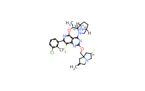 C=C1CN2C[C@H](F)CC2(COc2nc3c4c(nc(-c5cccc(Cl)c5C(F)(F)F)c(F)c4n2)O[C@@H](C)[C@@H]2[C@@H]4CC[C@H](CN32)N4)C1